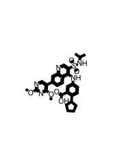 COc1ncc(-c2ccc3c(Nc4ccc(C5CCCC5)c(C(=O)O)c4)c(S(=O)(=O)NC(C)C)cnc3c2)c(OC)n1